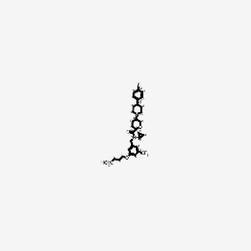 O=C(O)CCCOc1cc(CNC(=O)[C@@]2(C3CC3)CCC(N3CCC(c4ccc(F)cc4)CC3)CO2)cc(C(F)(F)F)c1